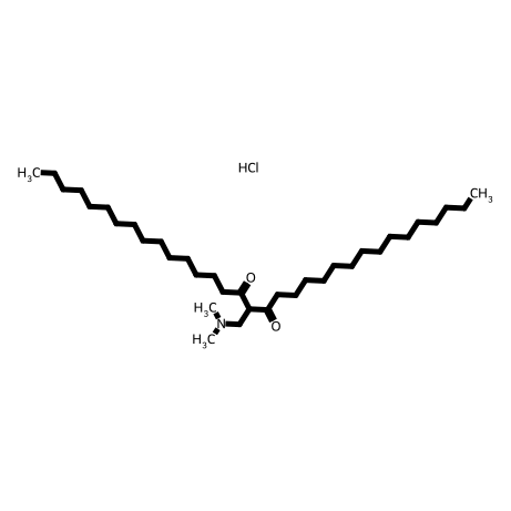 CCCCCCCCCCCCCCCC(=O)C(CN(C)C)C(=O)CCCCCCCCCCCCCCC.Cl